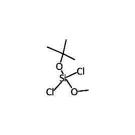 CO[Si](Cl)(Cl)OC(C)(C)C